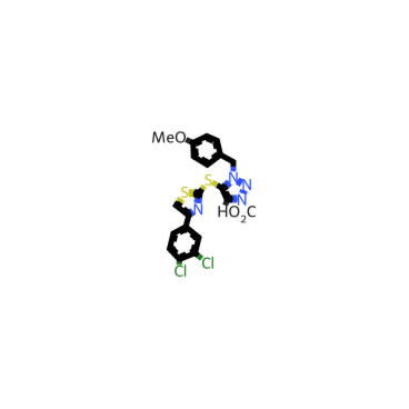 COc1ccc(Cn2nnc(C(=O)O)c2Sc2nc(-c3ccc(Cl)c(Cl)c3)cs2)cc1